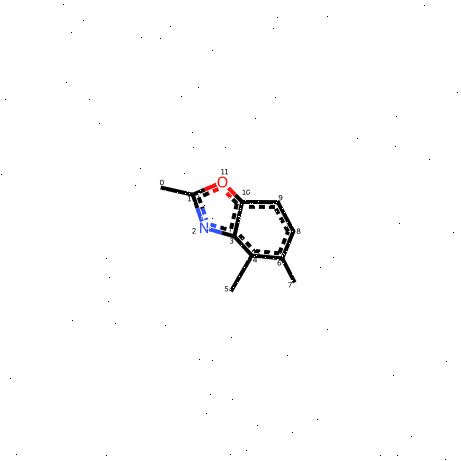 Cc1nc2c(C)c(C)ccc2o1